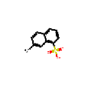 Cc1ccc2cccc(S(=O)(=O)O)c2c1